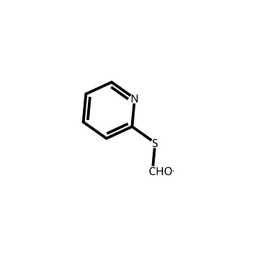 O=[C]Sc1ccccn1